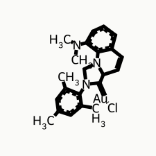 Cc1cc(C)c(N2CN3c4c(cccc4N(C)C)C=CC3[C]2=[Au][Cl])c(C)c1